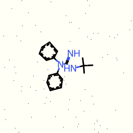 CC(C)(C)NC(=N)N(c1ccccc1)c1ccccc1